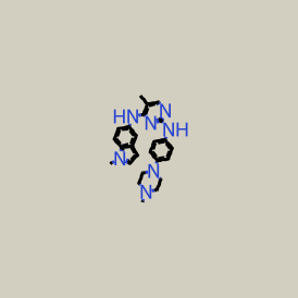 Cc1cnc(Nc2ccc(N3CCN(C)CC3)cc2)nc1Nc1ccc2c(ccn2C)c1